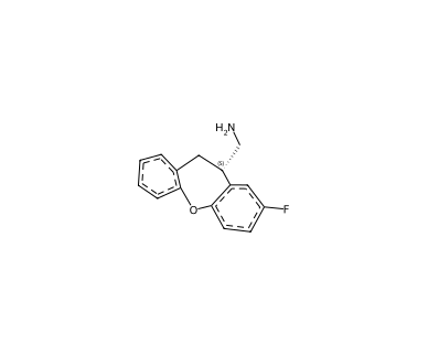 NC[C@H]1Cc2ccccc2Oc2ccc(F)cc21